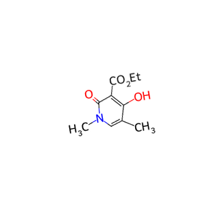 CCOC(=O)c1c(O)c(C)cn(C)c1=O